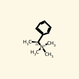 C[C@@H](c1ccccc1)[N+](C)(C)C